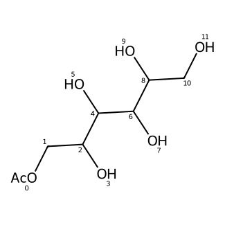 CC(=O)OCC(O)C(O)C(O)C(O)CO